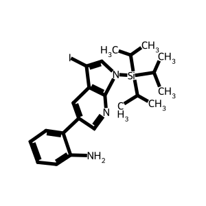 CC(C)[Si](C(C)C)(C(C)C)n1cc(I)c2cc(-c3ccccc3N)cnc21